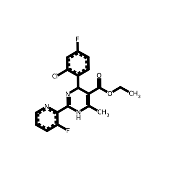 CCOC(=O)C1=C(C)NC(c2ncccc2F)=NC1c1ccc(F)cc1Cl